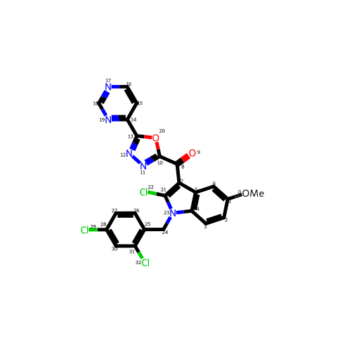 COc1ccc2c(c1)c(C(=O)c1nnc(-c3ccncn3)o1)c(Cl)n2Cc1ccc(Cl)cc1Cl